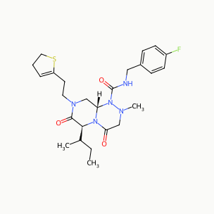 CCC(C)[C@H]1C(=O)N(CCC2=CCCS2)C[C@H]2N1C(=O)CN(C)N2C(=O)NCc1ccc(F)cc1